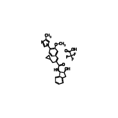 COc1cc(/C=C(\CC2CC2)C(=O)N[C@@H]2c3ccccc3C[C@@H]2O)ccc1-n1cnc(C)c1.O=C(O)C(F)(F)F